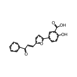 O=C(/C=C/c1ccc(-c2ccc(O)c(C(=O)O)c2)o1)c1ccccc1